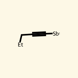 CCCC#[C][Sb]